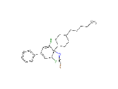 CCCCCC1CCC(C2(N=C=S)C(F)=CC(c3ccccc3)=CC2F)CC1